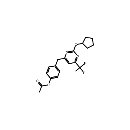 CC(=O)Oc1ccc(Cc2cc(C(F)(F)F)nc(OC3CCCC3)n2)cc1